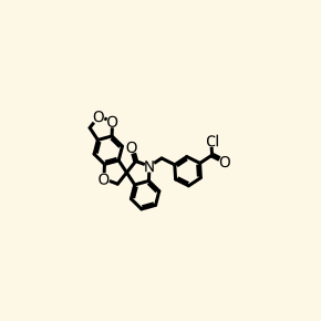 O=C(Cl)c1cccc(CN2C(=O)C3(COc4cc5c(cc43)OOC5)c3ccccc32)c1